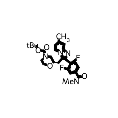 CNC(=O)c1cc(F)c(-c2nc3cc(C)ccn3c2C[C@@H]2CN(C(=O)OC(C)(C)C)CCO2)c(F)c1